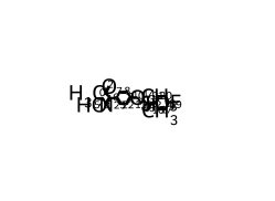 CC(=O)C(=NO)c1ccc(OC[Si](C)(C)c2ccc(F)cc2)cc1